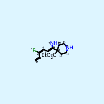 C=C/C(F)=C\C=C(/N)C1(C(=O)OCC)CCNCC1